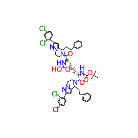 CC(C)(C)OC(=O)N[C@@H](CSSC[C@H](NC(=O)O)C(=O)N1CCn2nc(-c3ccc(Cl)cc3Cl)cc2C1CCc1ccccc1)C(=O)N1CCn2nc(-c3ccc(Cl)cc3Cl)cc2C1CCc1ccccc1